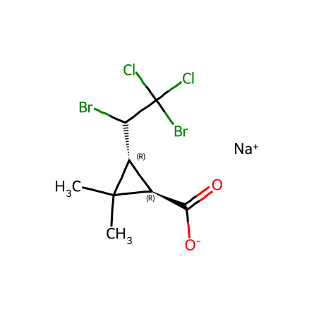 CC1(C)[C@H](C(=O)[O-])[C@H]1C(Br)C(Cl)(Cl)Br.[Na+]